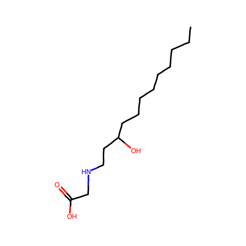 CCCCCCCCCC(O)CCNCC(=O)O